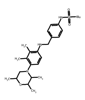 Cc1c(NCc2ccc(NS(=O)(=O)C(C)(C)C)cc2)ccc(N2CC(C)OC(C)C2C)c1C